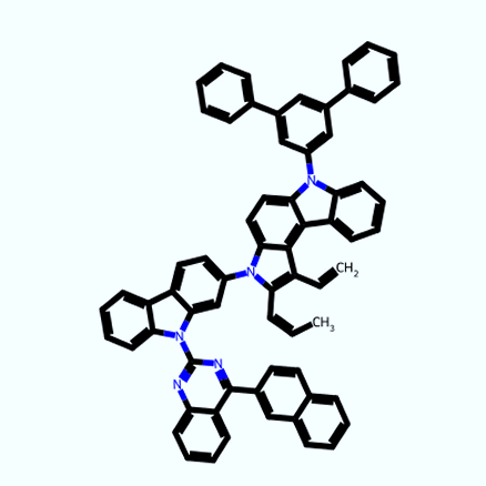 C=Cc1c(/C=C\C)n(-c2ccc3c4ccccc4n(-c4nc(-c5ccc6ccccc6c5)c5ccccc5n4)c3c2)c2ccc3c(c4ccccc4n3-c3cc(-c4ccccc4)cc(-c4ccccc4)c3)c12